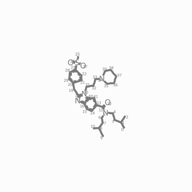 CC(C)CCN(CCC(C)C)C(=O)c1ccc2nc(Cc3ccc(S(C)(=O)=O)cc3)n(CCCN3CCCCC3)c2c1